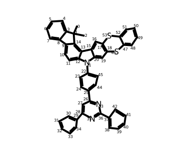 CC1(C)c2ccccc2-c2ccc3c(c21)c1cc2c(cc1n3-c1ccc(-c3cc(-c4ccccc4)nc(-c4ccccc4)n3)cc1)Sc1ccccc1S2